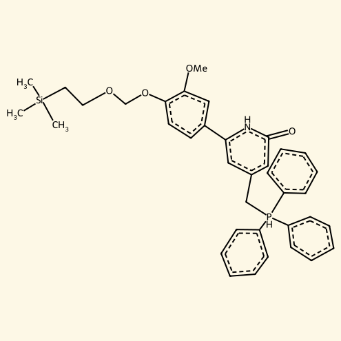 COc1cc(-c2cc(C[PH](c3ccccc3)(c3ccccc3)c3ccccc3)cc(=O)[nH]2)ccc1OCOCC[Si](C)(C)C